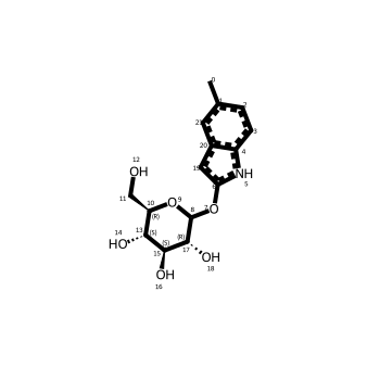 Cc1ccc2[nH]c(OC3O[C@H](CO)[C@@H](O)[C@H](O)[C@H]3O)cc2c1